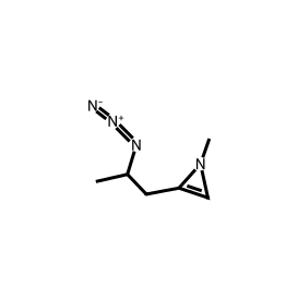 CC(CC1=CN1C)N=[N+]=[N-]